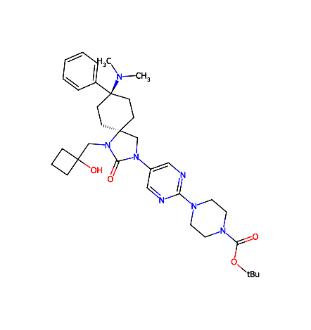 CN(C)[C@]1(c2ccccc2)CC[C@]2(CC1)CN(c1cnc(N3CCN(C(=O)OC(C)(C)C)CC3)nc1)C(=O)N2CC1(O)CCC1